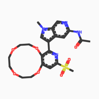 CC(=O)Nc1cc2c(-c3nc(S(C)(=O)=O)cc4c3OCCOCCOCCO4)cn(C)c2cn1